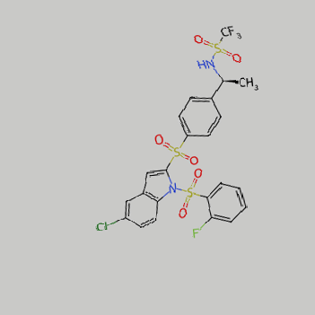 C[C@H](NS(=O)(=O)C(F)(F)F)c1ccc(S(=O)(=O)c2cc3cc(Cl)ccc3n2S(=O)(=O)c2ccccc2F)cc1